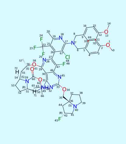 COc1ccc(CN(Cc2ccc(OC)cc2)c2nc(C)c(C(F)(F)F)c(-c3nc4c5c(nc(OC[C@@]67CCCN6C[C@H](F)C7)nc5c3F)NC[C@H]3CC[C@@H](C[C@H](C)O4)N3C(=O)OC(C)(C)C)c2Cl)cc1